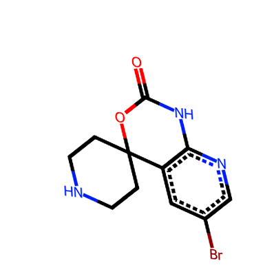 O=C1Nc2ncc(Br)cc2C2(CCNCC2)O1